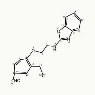 O=Cc1ccc(OCCNc2nc3ccccc3o2)c(CCl)c1